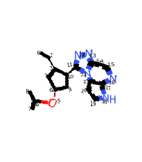 CC[C@@H]1C[C@@H](OC(C)C)C[C@@H]1c1nnc2cnc3[nH]ccc3n12